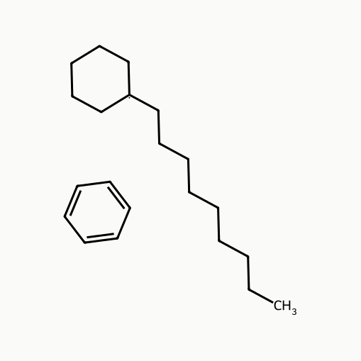 CCCCCCCCC[C]1CCCCC1.c1ccccc1